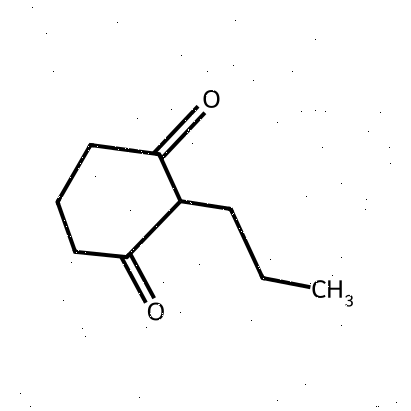 CCCC1C(=O)CCCC1=O